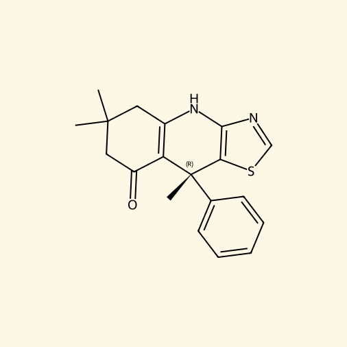 CC1(C)CC(=O)C2=C(C1)Nc1ncsc1[C@]2(C)c1ccccc1